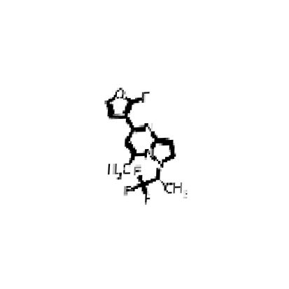 CC1=CC(c2ccoc2F)=NC2=CCN([C@H](C)C(F)(F)F)N12